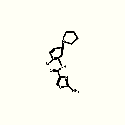 Nc1nc(C(=O)Nc2cc(N3CCCCC3)ccc2Br)co1